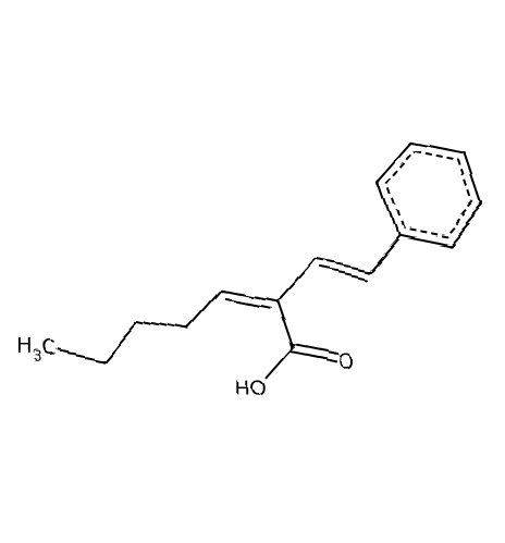 CCCCC=C(C=Cc1ccccc1)C(=O)O